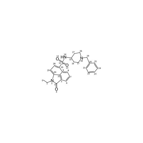 CCN1C(=O)c2cccc3c(S(=O)(=O)NC4CCN(Cc5ccccc5)CC4)ccc1c23